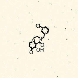 O=C1c2c(O)c(=O)ccn2CCN1Cc1cccc(Cl)c1